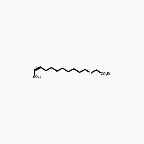 CCCCCCCC/C=C\CCCCCCCCOCC(=O)OCC